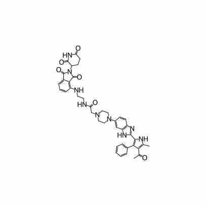 CC(=O)c1c(C)[nH]c(-c2nc3ccc(N4CCN(CC(=O)NCCNc5cccc6c5C(=O)N(C5CCC(=O)NC5=O)C6=O)CC4)cc3[nH]2)c1-c1ccccc1